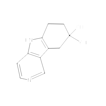 CC1(C)CCc2[nH]c3ccncc3c2C1